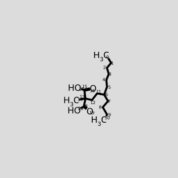 CCCCCCC(CCCC)CCC(C)(C(=O)O)C(=O)O